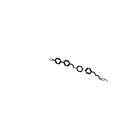 CCCCCc1ccc([C@H]2CC[C@H](CCc3ccc(-c4ccc(Cl)cc4)cc3)CC2)cc1